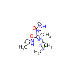 C\C=C(F)/C=C\C(=C/C)Cn1nc(C(=O)Nc2cccc(C)c2)c2c1C(C)CN(C(=O)c1ccc[nH]1)C2